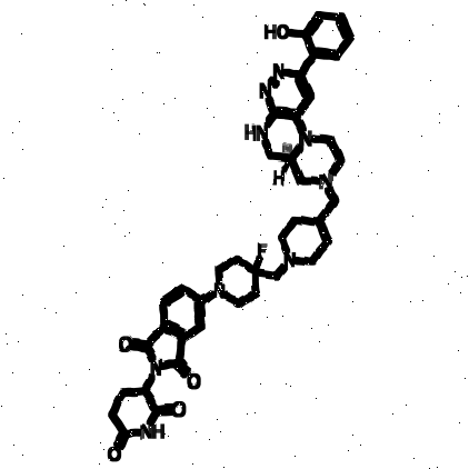 O=C1CCC(N2C(=O)c3ccc(N4CCC(F)(CN5CCC(CN6CCN7c8cc(-c9ccccc9O)nnc8NC[C@H]7C6)CC5)CC4)cc3C2=O)C(=O)N1